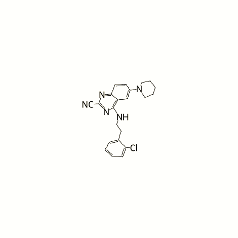 N#Cc1nc(NCCc2ccccc2Cl)c2cc(N3CCCCC3)ccc2n1